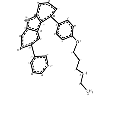 CCNCCCOc1ccc(-c2cccc3[nH]c4cnc(-c5cccnc5)cc4c23)cc1